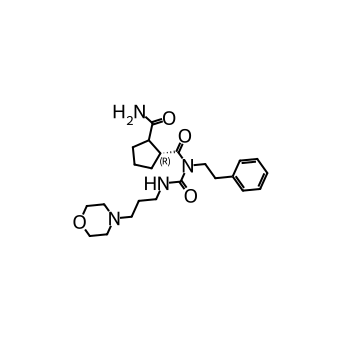 NC(=O)C1CCC[C@H]1C(=O)N(CCc1ccccc1)C(=O)NCCCN1CCOCC1